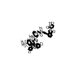 CC1(C)CCC2(CC1)N[C@@H](C(=O)NC1CCN(CC(=O)NC#Cc3cccc4c3CN(C3CCC(=O)NC3=O)C4=O)CC1)[C@H](c1cccc(Cl)c1F)[C@@]21Cc2ccc(Cl)cc2NC1=O